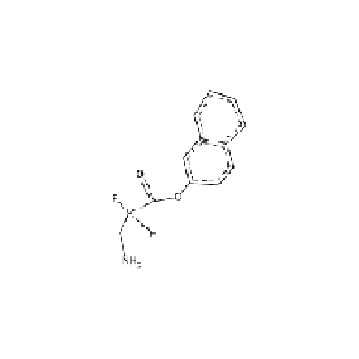 NCC(F)(F)C(=O)Oc1ccc2ccccc2c1